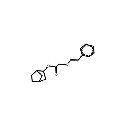 O=C(COC=Cc1ccccc1)OC1CC2CCC1C2